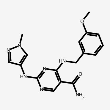 COc1cccc(CNc2nc(Nc3cnn(C)c3)ncc2C(N)=O)c1